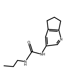 CCCNC(=O)Nc1cnc2c(c1)CCC2